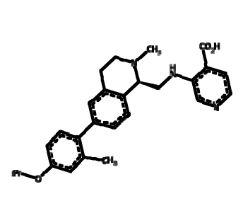 Cc1cc(OC(C)C)ccc1-c1ccc2c(c1)CCN(C)[C@H]2CNc1cnccc1C(=O)O